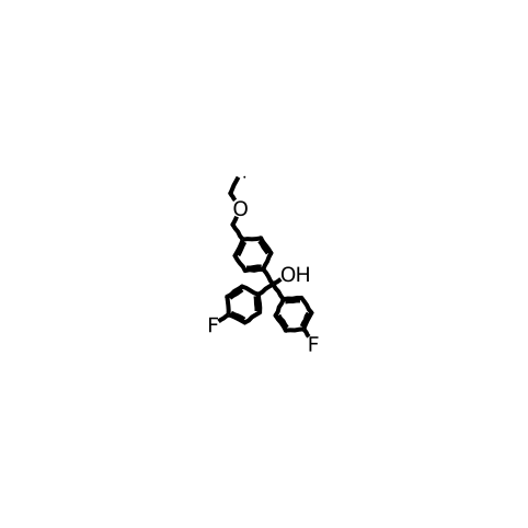 [CH2]COCc1ccc(C(O)(c2ccc(F)cc2)c2ccc(F)cc2)cc1